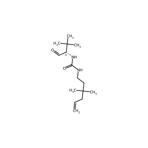 C=CCC(C)(C)CCNC(=O)N[C@H](C=O)C(C)(C)C